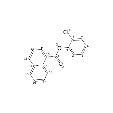 O=C(Oc1ccccc1Cl)c1cccc2ccccc12